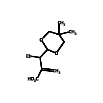 C=C(C(=O)O)C(CC)C1OCC(C)(C)CO1